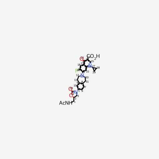 CC(=O)NCC1CN(c2ccc3c(c2)CCN(c2cc4c(cc2F)c(=O)c(C(=O)O)cn4C2CC2)CC3)C(=O)O1